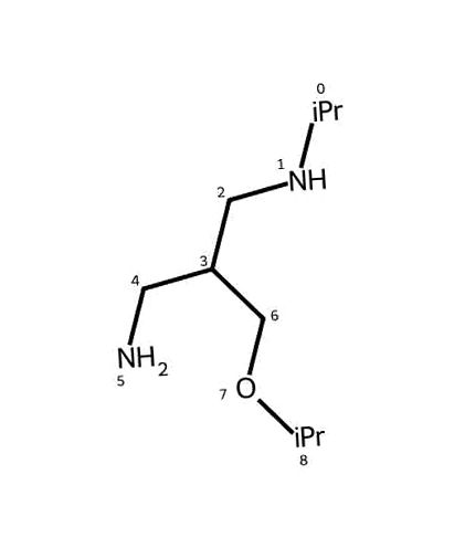 CC(C)NCC(CN)COC(C)C